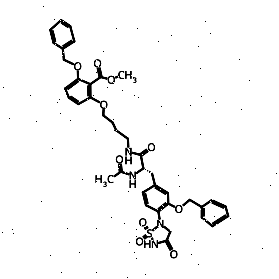 COC(=O)c1c(OCCCCNC(=O)[C@H](Cc2ccc(N3CC(=O)NS3(=O)=O)c(OCc3ccccc3)c2)NC(C)=O)cccc1OCc1ccccc1